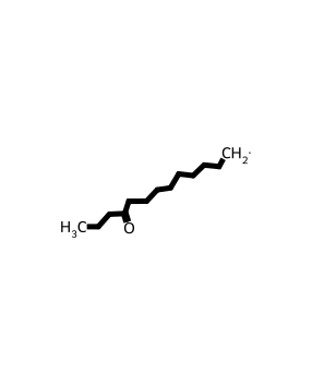 [CH2]CCCCCCCCC(=O)CCC